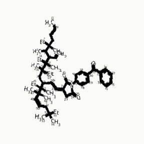 C=CC(C(C)C(C)(CC)C/C=C/C)C(C)(CC)C(C)(CC)CC(CCC1CC(=O)N(c2ccc(C(=O)c3ccccc3)cc2)C1=O)C(C)(CC)C(C)(C)/C=C\CC(C)(C)CC